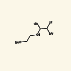 CCCC(CC)C(NCCOC)C(C)(C)C